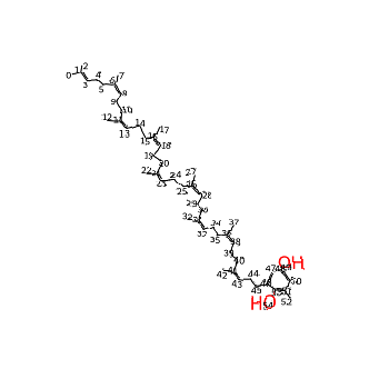 CC(C)=CCCC(C)=CCCC(C)=CCCC(C)=CCCC(C)=CCCC(C)=CCCC(C)=CCCC(C)=CCCC(C)=CCCc1cc(O)cc(C)c1O